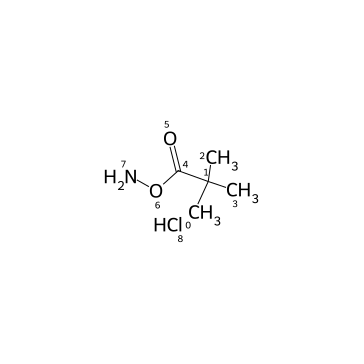 CC(C)(C)C(=O)ON.Cl